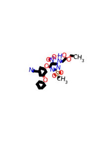 CCOC(=O)CNc1nc(S(C)(=O)=O)nc(Oc2cc(C#N)cc(Oc3ccccc3)c2)c1[N+](=O)[O-]